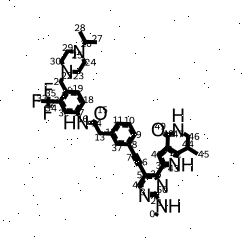 CNc1ncc(C#Cc2cccc(CC(=O)Nc3ccc(CN4CCN(C(C)C)CC4)c(C(F)(F)F)c3)c2)c(-c2cc3c([nH]2)C(C)CNC3=O)n1